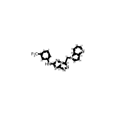 FC(F)(F)c1cccc(Nc2nn3c(Cn4ccc5ncccc54)nnc3s2)c1